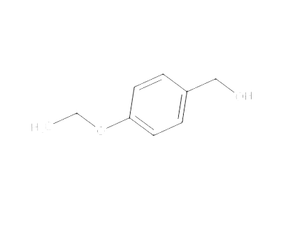 C[CH]Oc1ccc(CO)cc1